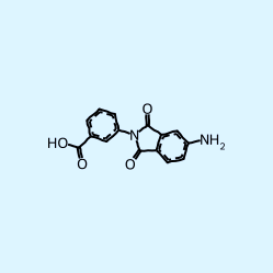 Nc1ccc2c(c1)C(=O)N(c1cccc(C(=O)O)c1)C2=O